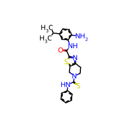 CC(C)c1ccc(N)c(NC(=O)c2nc3c(s2)CN(C(=S)Nc2ccccc2)CC3)c1